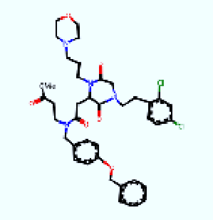 COC(=O)CCN(Cc1ccc(OCc2ccccc2)cc1)C(=O)CC1C(=O)N(CCc2ccc(Cl)cc2Cl)CC(=O)N1CCCN1CCOCC1